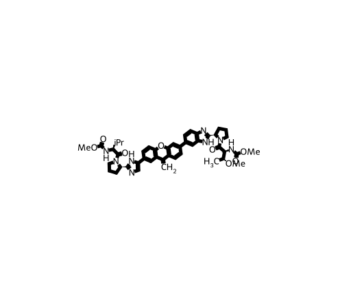 C=C1c2ccc(-c3ccc4nc([C@@H]5CCCN5C(=O)[C@@H](NC(=O)OC)[C@@H](C)OC)[nH]c4c3)cc2Oc2ccc(-c3cnc([C@@H]4CCCN4C(=O)[C@@H](NC(=O)OC)C(C)C)[nH]3)cc21